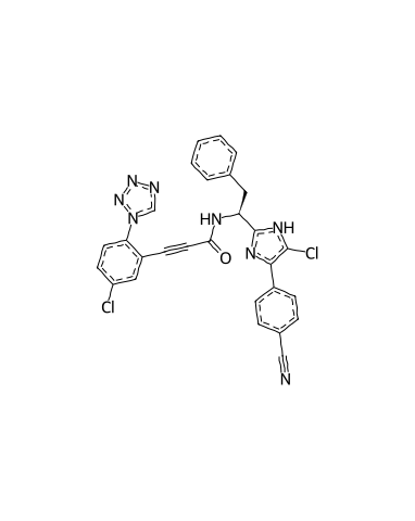 N#Cc1ccc(-c2nc([C@H](Cc3ccccc3)NC(=O)C#Cc3cc(Cl)ccc3-n3cnnn3)[nH]c2Cl)cc1